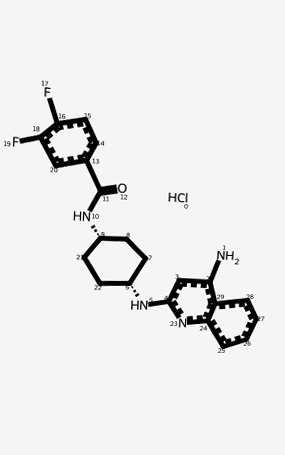 Cl.Nc1cc(N[C@H]2CC[C@@H](NC(=O)c3ccc(F)c(F)c3)CC2)nc2ccccc12